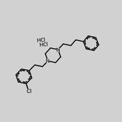 Cl.Cl.Clc1cccc(CCN2CCN(CCCc3ccccc3)CC2)c1